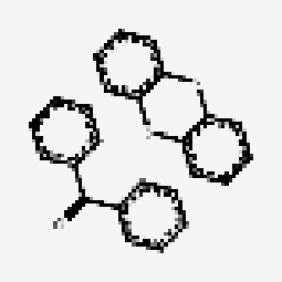 O=C(c1ccccc1)c1ccccc1.c1ccc2c(c1)Sc1ccccc1S2